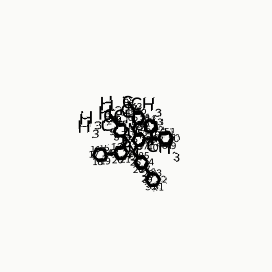 CC(C)(C)C1=CC2C(CC1)B1C3=CC(C4CCCCC4)=CCC3N(c3ccc(C4CCCCC4)cc3)C3C=C(C(C)(c4ccccc4)c4ccccc4)C=C(C13)N2C1CCC=C(C(C)(C)C)C1